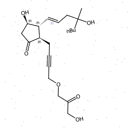 CCCCC(C)(O)C/C=C/[C@H]1[C@H](O)CC(=O)[C@@H]1CC#CCOCC(=O)CO